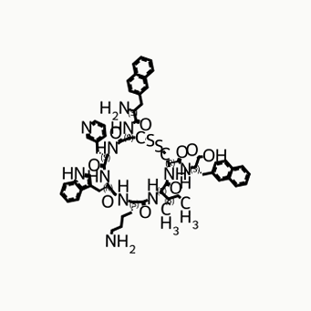 CC[C@H](C)[C@@H]1NC(=O)[C@H](CCCCN)NC(=O)[C@@H](Cc2c[nH]c3ccccc23)NC(=O)[C@H](Cc2cccnc2)NC(=O)[C@H](NC(=O)[C@@H](N)Cc2ccc3ccccc3c2)CSSC[C@@H](C(=O)N[C@@H](Cc2ccc3ccccc3c2)C(=O)O)NC1=O